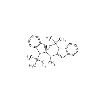 CC(C1=Cc2ccccc2C1[Si](C)(C)C)C1=Cc2ccccc2C1[Si](C)(C)C